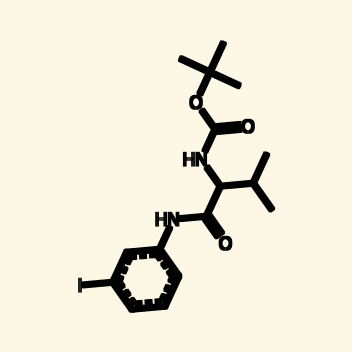 CC(C)C(NC(=O)OC(C)(C)C)C(=O)Nc1cccc(I)c1